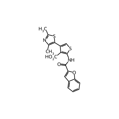 Cc1nc(C)c(-c2csc(NC(=O)c3cc4ccccc4o3)c2C(=O)O)s1